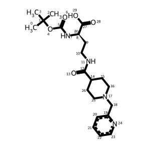 CC(C)(C)OC(=O)N[C@H](CCNC(=O)C1CCN(Cc2ccccn2)CC1)C(=O)O